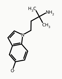 CC(C)(N)CCn1ccc2cc([O])ccc21